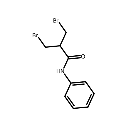 O=C(Nc1ccccc1)C(CBr)CBr